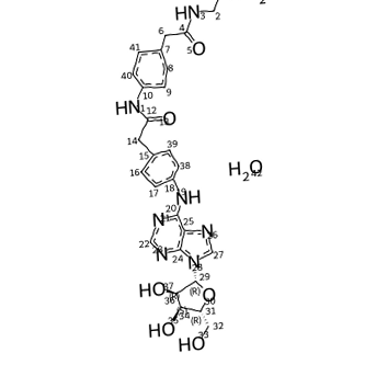 NCCNC(=O)Cc1ccc(NC(=O)Cc2ccc(Nc3ncnc4c3ncn4[C@@H]3O[C@H](CO)[C@@H](O)[C@H]3O)cc2)cc1.O